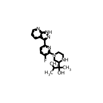 CC(C)C(C)(O)C1CN(c2nc(-c3n[nH]c4ncccc34)ccc2F)CCN1